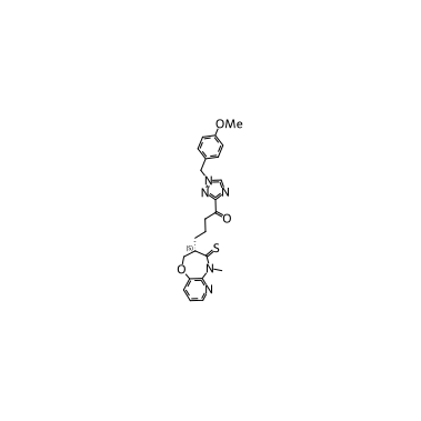 COc1ccc(Cn2cnc(C(=O)CCC[C@H]3COc4cccnc4N(C)C3=S)n2)cc1